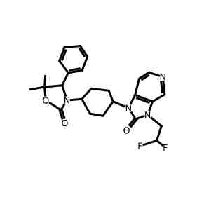 CC1(C)OC(=O)N(C2CCC(n3c(=O)n(CC(F)F)c4cnccc43)CC2)C1c1ccccc1